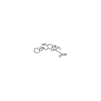 COC12CCC(O)C(CCCC3(O)CCCCC3)C1CC2=CCCC(=O)O